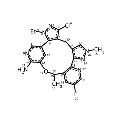 CCn1nc(Cl)c2c1-c1cnc(N)c(c1)O[C@H](C)c1cc(F)cnc1-c1nn(C)cc1C2